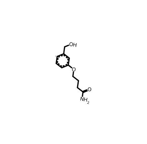 NC(=O)CCCOc1cc[c]c(CO)c1